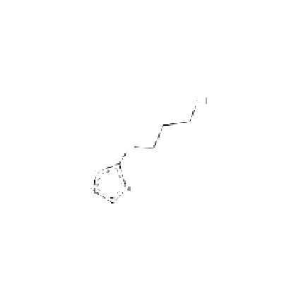 NCCCSc1nnc[nH]1